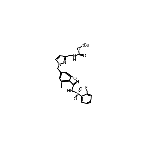 Cc1cc(Cn2ccc(CNC(=O)OC(C)(C)C)n2)cc2onc(NS(=O)(=O)c3ccccc3F)c12